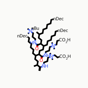 C=C(NCCC[N+](C)(C)CCC(=O)O)C(C)CCC(CCCCCCCCCCCCCCCC)C(CCC(CCCCCCCCCCCCCCCC)C(CCC(C)CCCCCCCCCCCCCCCC)C(=O)NCCC[N+](C)(C)CCCC)C(=O)NCCC[N+](C)(C)CCC(=O)O